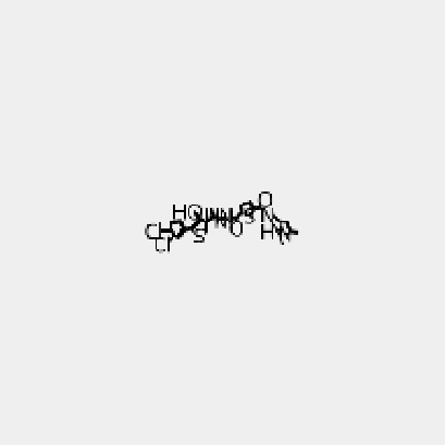 C/C(=N\NC(=O)c1ccc(C(=O)NCc2cc(C)n(C)n2)s1)c1csc(-c2ccc(Cl)c(Cl)c2)c1O